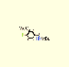 COc1cc(CNC(C)(C)C)ccc1F